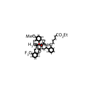 CCOC(=O)CCCCOc1ccccc1C(Cn1c(=O)c(-c2cccc(OC)c2F)c(C)n(Cc2c(F)cccc2C(F)(F)F)c1=O)NC(=O)OC(C)(C)C